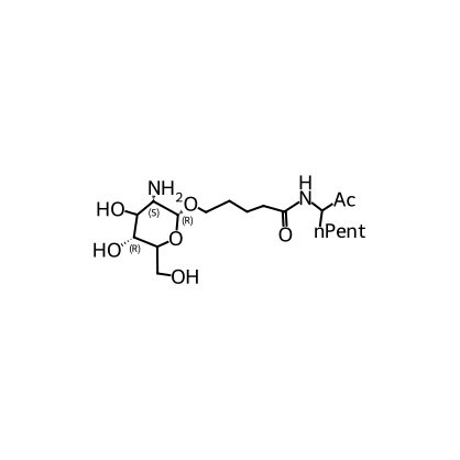 CCCCCC(NC(=O)CCCCO[C@@H]1OC(CO)[C@H](O)C(O)[C@@H]1N)C(C)=O